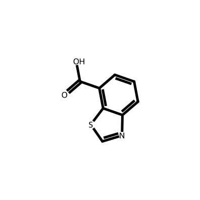 O=C(O)c1cccc2ncsc12